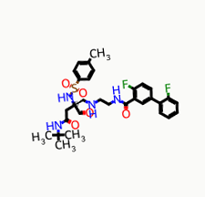 Cc1ccc(S(=O)(=O)N[C@@](C=O)(CNCCNC(=O)c2cc(-c3ccccc3F)ccc2F)CC(=O)NC(C)(C)C)cc1